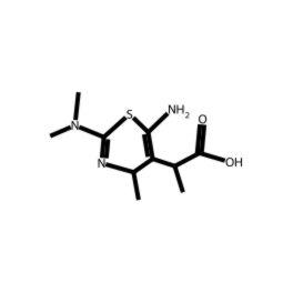 CC1N=C(N(C)C)SC(N)=C1C(C)C(=O)O